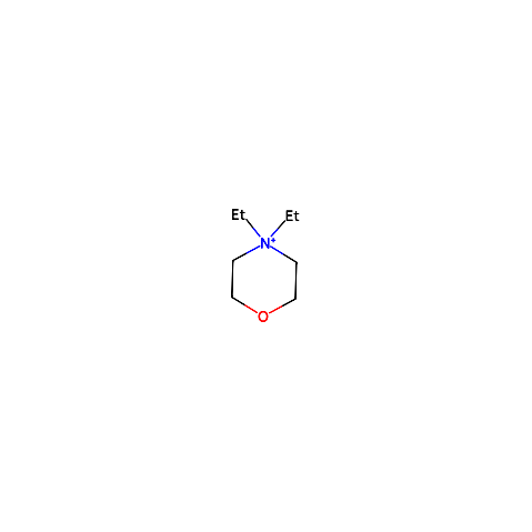 CC[N+]1(CC)CCOCC1